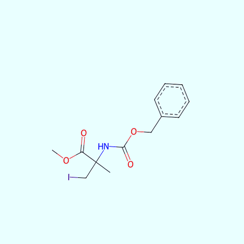 COC(=O)C(C)(CI)NC(=O)OCc1ccccc1